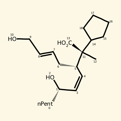 CCCCC[C@H](O)/C=C\[C@H](C/C=C/CO)[C@](C)(C(=O)O)C1CCCC1